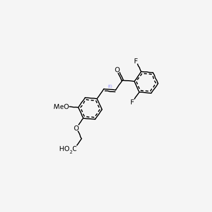 COc1cc(/C=C/C(=O)c2c(F)cccc2F)ccc1OCC(=O)O